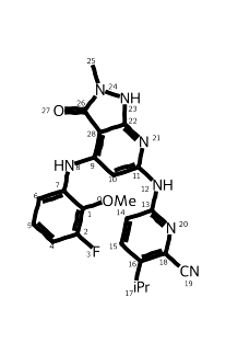 COc1c(F)cccc1Nc1cc(Nc2ccc(C(C)C)c(C#N)n2)nc2[nH]n(C)c(=O)c12